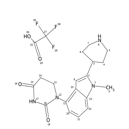 Cn1c(C2CCNCC2)cc2c(N3CCC(=O)NC3=O)cccc21.O=C(O)C(F)(F)F